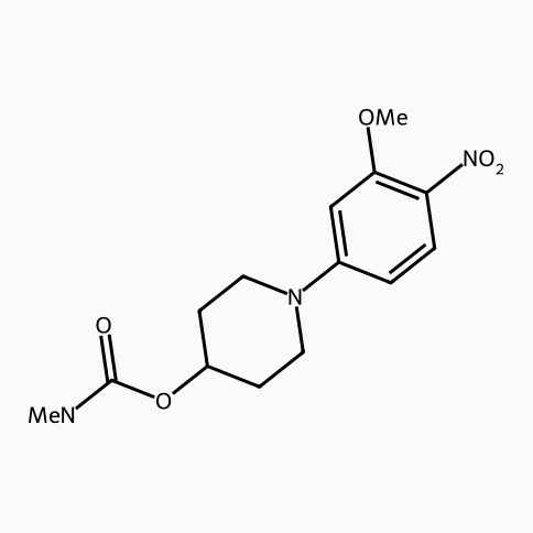 CNC(=O)OC1CCN(c2ccc([N+](=O)[O-])c(OC)c2)CC1